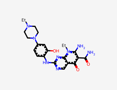 CCN1CCN(c2ccc(Nc3ncc4c(=O)c(C(N)=O)c(N)n(CC)c4n3)c(O)c2)CC1